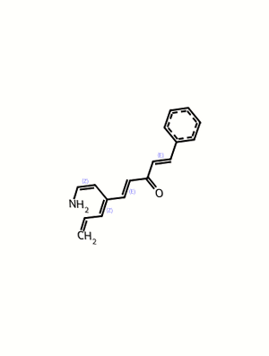 C=C/C=C(\C=C/N)/C=C/C(=O)/C=C/c1ccccc1